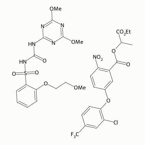 CCOC(=O)C(C)OC(=O)c1cc(Oc2ccc(C(F)(F)F)cc2Cl)ccc1[N+](=O)[O-].COCCOc1ccccc1S(=O)(=O)NC(=O)Nc1nc(OC)nc(OC)n1